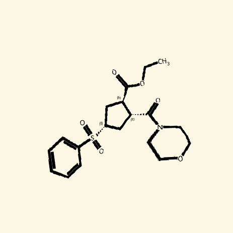 CCOC(=O)[C@@H]1C[C@@H](S(=O)(=O)c2ccccc2)C[C@H]1C(=O)N1CCOCC1